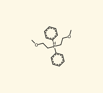 COCC[PH](CCOC)(c1ccccc1)c1ccccc1